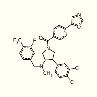 CN(Cc1ccc(C(F)(F)F)c(F)c1)C1CN(C(=O)c2ccc(-c3cnco3)cc2)CC1c1ccc(Cl)c(Cl)c1